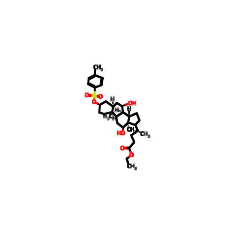 CCOC(=O)CC[C@@H](C)C1CC[C@H]2[C@@H]3[C@H](O)C[C@@H]4C[C@H](OS(=O)(=O)c5ccc(C)cc5)CC[C@]4(C)[C@H]3C[C@H](O)[C@]12C